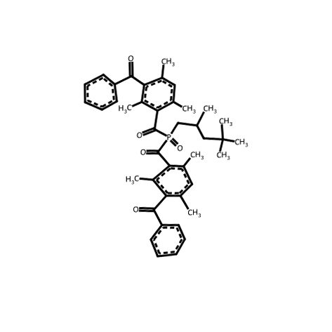 Cc1cc(C)c(C(=O)P(=O)(CC(C)CC(C)(C)C)C(=O)c2c(C)cc(C)c(C(=O)c3ccccc3)c2C)c(C)c1C(=O)c1ccccc1